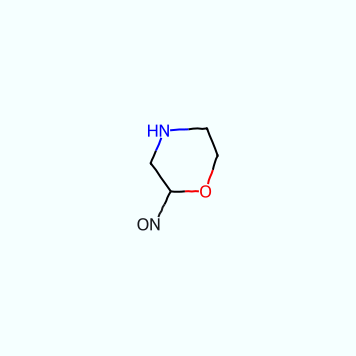 O=NC1CNCCO1